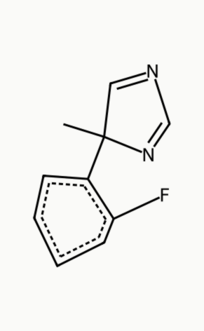 CC1(c2ccccc2F)C=NC=N1